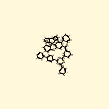 c1ccc(-c2ccc(-c3nc(-c4ccccc4)nc(-c4cccc(-c5nc6ccccc6c6cc7c(cc56)Oc5ccccc5C75c6ccccc6-c6ccccc65)c4)n3)cc2)cc1